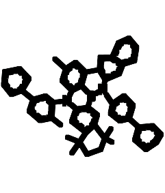 Cc1cc2c3c(c1)N(c1cc(-c4ccccc4)ccc1C)c1cc4c(cc1B3N(c1ccc(-c3ccccc3)cc1)c1cc3ccccc3cc1-2)C(C)(C)CCC4(C)C